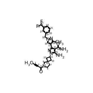 CC#CC(=O)N1CC[C@]2(C1)C[C@H](n1nc(-c3cn(Cc4cccc(C(F)F)c4)nc3C)c(C(N)=O)c1N)C2